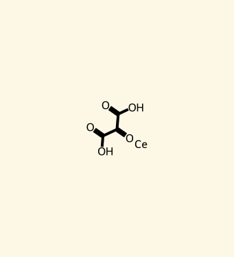 O=C(O)C(=O)C(=O)O.[Ce]